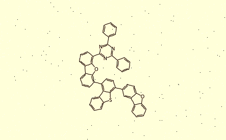 c1ccc(-c2nc(-c3ccccc3)nc(-c3cccc4c3oc3c(-c5ccc(-c6ccc7oc8ccccc8c7c6)c6sc7ccccc7c56)cccc34)n2)cc1